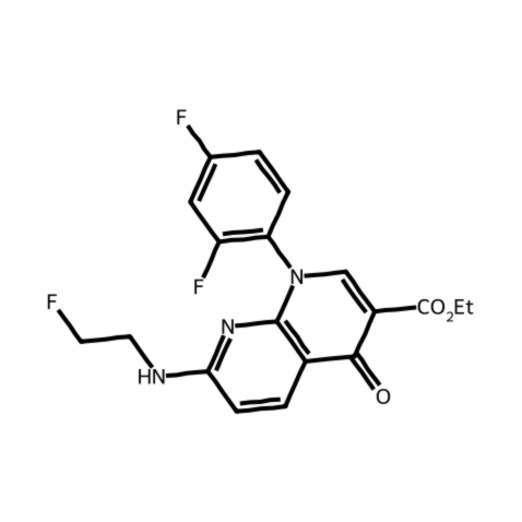 CCOC(=O)c1cn(-c2ccc(F)cc2F)c2nc(NCCF)ccc2c1=O